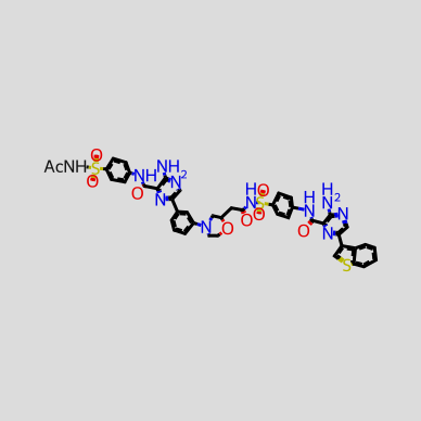 CC(=O)NS(=O)(=O)c1ccc(NC(=O)c2nc(-c3cccc(N4CCOC(CC(=O)NS(=O)(=O)c5ccc(NC(=O)c6nc(-c7csc8ccccc78)cnc6N)cc5)C4)c3)cnc2N)cc1